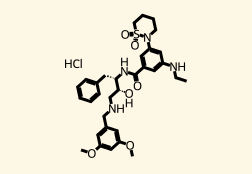 CCNc1cc(C(=O)N[C@@H](Cc2ccccc2)[C@H](O)CNCc2cc(OC)cc(OC)c2)cc(N2CCCCS2(=O)=O)c1.Cl